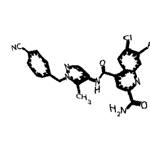 Cc1c(NC(=O)c2cc(C(N)=O)nc3cc(F)c(Cl)cc23)cnn1Cc1ccc(C#N)cc1